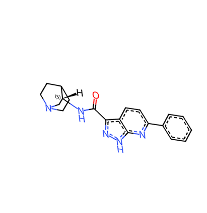 O=C(N[C@@H]1CN2CCC1CC2)c1n[nH]c2nc(-c3ccccc3)ccc12